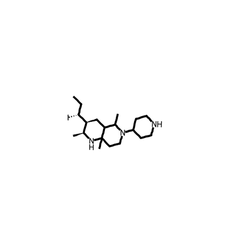 CC[C@@H](I)[C@H]1CC2C(C)N(C3CCNCC3)CCC2(C)N[C@H]1C